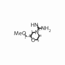 COC[C@@H]1CN(C(=N)N)CCO1